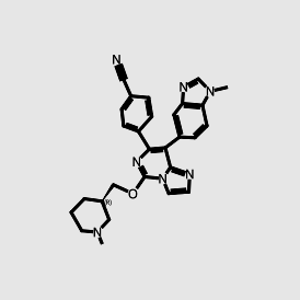 CN1CCC[C@@H](COc2nc(-c3ccc(C#N)cc3)c(-c3ccc4c(c3)ncn4C)c3nccn23)C1